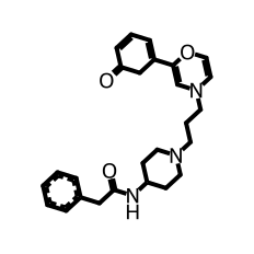 O=C1C=CC=C(C2=CN(CCCN3CCC(NC(=O)Cc4ccccc4)CC3)C=CO2)C1